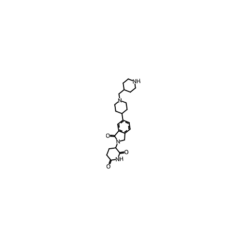 O=C1CCC(N2Cc3ccc(C4CCN(CC5CCNCC5)CC4)cc3C2=O)C(=O)N1